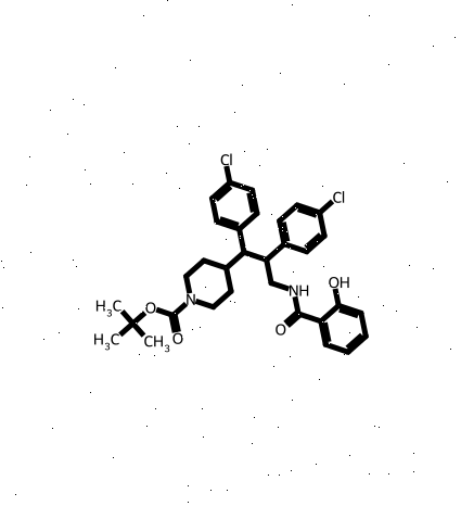 CC(C)(C)OC(=O)N1CCC(C(c2ccc(Cl)cc2)C(CNC(=O)c2ccccc2O)c2ccc(Cl)cc2)CC1